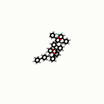 c1ccc(-c2ccc(N(c3ccccc3-c3ccccc3)c3cccc4c3-c3ccccc3C43c4ccccc4-c4c(N(c5ccc(-c6ccccc6)cc5)c5ccccc5-c5ccccc5)cccc43)cc2)cc1